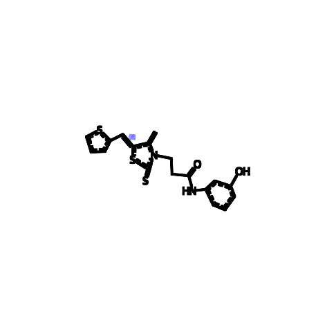 C=c1/c(=C/c2cccs2)sc(=S)n1CCC(=O)Nc1cccc(O)c1